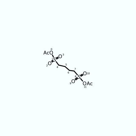 CC(=O)OS(=O)(=O)CCCCS(=O)(=O)OC(C)=O